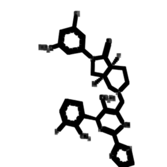 CCOC(=O)C1=C(CN2CC[C@]3(F)C(=O)N(c4cc(Cl)cc(C(=O)O)c4)C[C@@H]3C2)NC(c2nccs2)=N[C@H]1c1cccc(F)c1C